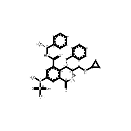 C[C@@H](NC(=O)c1cc(N(C)S(C)(=O)=O)cc(C(N)=O)c1[C@H](Cc1ccccc1)[C@@H](O)CNC1CC1)c1ccccc1